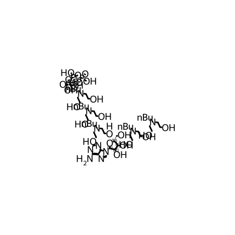 CCCCN(CCO)CCO.CCCCN(CCO)CCO.CCCCN(CCO)CCO.CCCCN(CCO)CCO.CCCCN(CCO)CCO.Nc1ncnc2c1ncn2[C@@H]1O[C@H](CO)[C@@H](O)[C@H]1O.O=P(O)(O)OP(=O)(O)OP(=O)(O)O